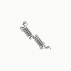 O=C(OOC(=O)C(F)(F)C(F)(F)C(F)(F)C(F)(F)C(F)(Cl)C(Cl)CCC(F)(F)F)C(F)(F)C(F)(F)C(F)(F)C(F)(F)C(F)(Cl)C(Cl)CCC(F)(F)F